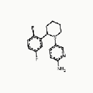 Nc1ccc(N2CCCCC2c2cc(F)ccc2F)cn1